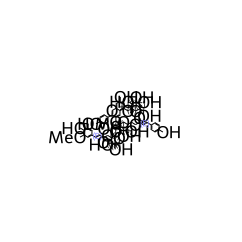 COc1cc(/C=C/C(=O)OC2[C@H](O[C@H]3C(O)[C@H](O)C(COC(=O)/C=C/c4ccc(O)cc4)O[C@H]3Oc3cc4c(O[C@@H]5OC(CO)[C@@H](O)C(O)[C@@H]5O)cc(O)cc4[o+]c3-c3ccc(O)c(O)c3)OC[C@@H](O)[C@H]2O)cc(OC)c1O